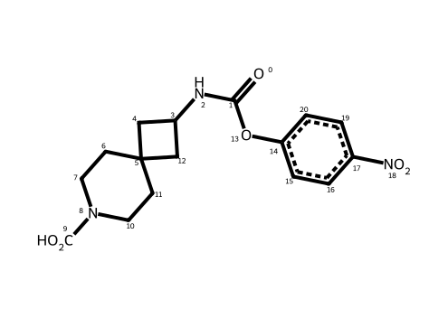 O=C(NC1CC2(CCN(C(=O)O)CC2)C1)Oc1ccc([N+](=O)[O-])cc1